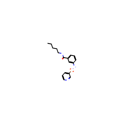 CCCCCNC(=O)c1cccc(NS(=O)(=O)c2cccnc2)c1